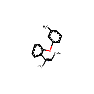 CO/C=C(/C(=O)O)c1ccccc1Oc1cccc(C)c1